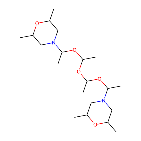 CC1CN(C(C)OC(C)OC(C)OC(C)N2CC(C)OC(C)C2)CC(C)O1